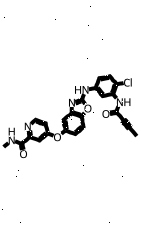 CC#CC(=O)Nc1cc(Nc2nc3cc(Oc4ccnc(C(=O)NC)c4)ccc3o2)ccc1Cl